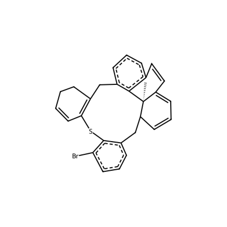 C[C@]12C3=CC=CC1Cc1cccc(Br)c1SC1=C(CCC=C1)Cc1cccc(c12)C=C3